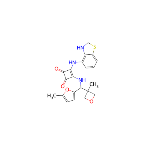 Cc1ccc(C(Nc2c(Nc3cccc4c3NCS4)c(=O)c2=O)C2(C)COC2)o1